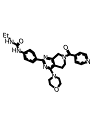 CCNC(=O)Nc1ccc(-c2nc3c(c(N4CCOCC4)n2)CCN(C(=O)c2ccncc2)C3)cc1